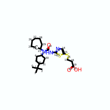 CC(C)(C)C1CCC(N(C(=O)Nc2ncc(SCCC(=O)O)s2)C2CCCCCC2)CC1